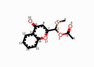 CSC(OC(C)=O)c1cc(=O)c2ccccc2o1